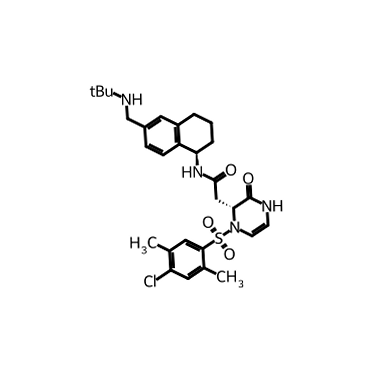 Cc1cc(S(=O)(=O)N2C=CNC(=O)[C@H]2CC(=O)N[C@@H]2CCCc3cc(CNC(C)(C)C)ccc32)c(C)cc1Cl